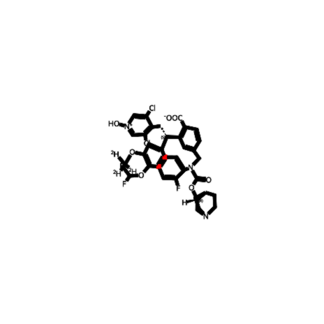 [2H]C([2H])([2H])Oc1cc([C@H](Cc2c(Cl)c[n+](O)cc2Cl)c2cc(CN(C(=O)O[C@H]3CN4CCC3CC4)c3ccccc3F)ccc2C(=O)[O-])ccc1OC(F)F